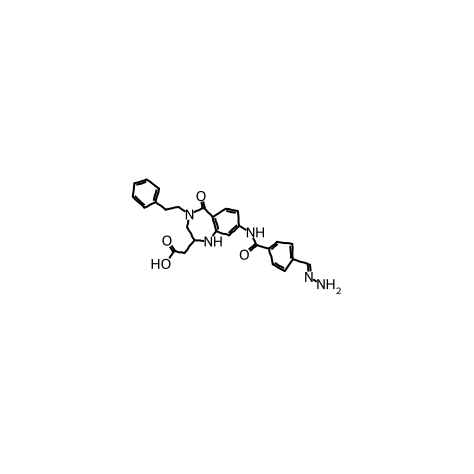 NN=Cc1ccc(C(=O)Nc2ccc3c(c2)NC(CC(=O)O)CN(CCc2ccccc2)C3=O)cc1